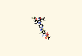 O=C(NS(=O)(=O)C1CC1)c1cc(F)c2nc(N3CCC(NCc4c(-c5ccccc5OC(F)(F)F)noc4C4CC4)CC3)sc2c1